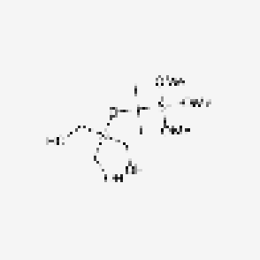 CO[Si](OC)(OC)C(C)(C)O[Si](CO)(CO)CO